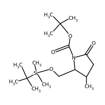 CC1CC(=O)N(C(=O)OC(C)(C)C)C1CO[Si](C)(C)C(C)(C)C